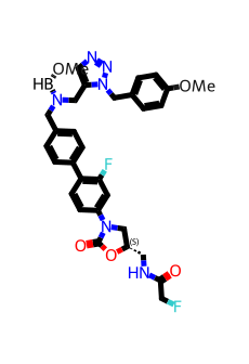 COBN(Cc1ccc(-c2ccc(N3C[C@H](CNC(=O)CF)OC3=O)cc2F)cc1)Cc1cnnn1Cc1ccc(OC)cc1